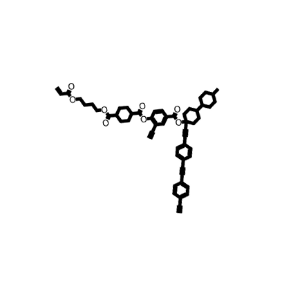 C#Cc1ccc(C#Cc2ccc(C#CC3(OC(=O)c4ccc(OC(=O)C5CCC(C(=O)OCCCCOC(=O)C=C)CC5)c(C#C)c4)CCC(C4CCC(C)CC4)CC3)cc2)cc1